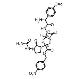 CC(=O)Oc1ccc(C(N)C(=O)N[C@@H]2C(=O)N3C[C@@](C(=O)OCc4ccc([N+](=O)[O-])cc4)(N4CCN(NC(N)=O)C4=O)S[C@H]23)cc1